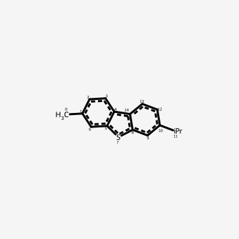 Cc1ccc2c(c1)sc1cc(C(C)C)ccc12